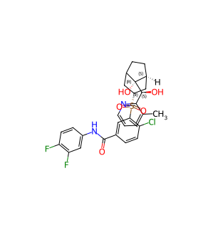 Cc1cccnc1[C@H](O)[C@@]1(O)C2CC[C@H]1C[C@H](S(=O)(=O)c1cc(C(=O)Nc3ccc(F)c(F)c3)ccc1Cl)C2